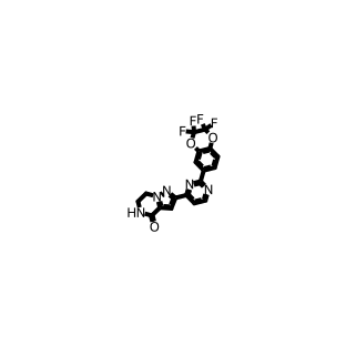 O=C1NCCn2nc(-c3ccnc(-c4ccc5c(c4)OC(F)(F)C(F)(F)O5)n3)cc21